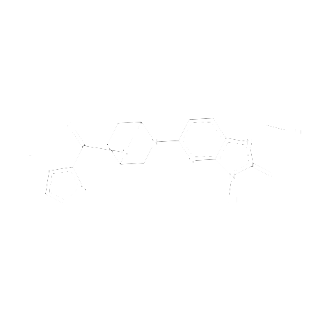 Cn1c(=O)n(CC(C)(C)C)c2ccc(N3CC4CCC3CN4C(=O)c3nscc3Br)nc21